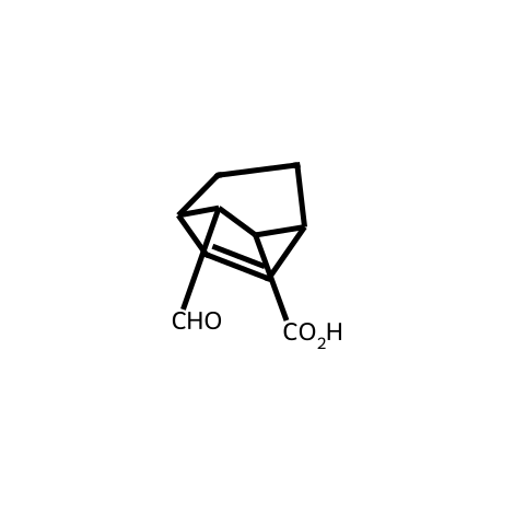 O=CC1C2C=CC(CC2)C1C(=O)O